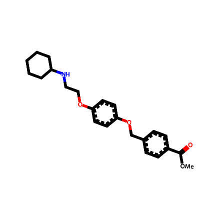 COC(=O)c1ccc(COc2ccc(OCCNC3CCCCC3)cc2)cc1